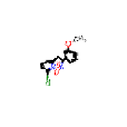 COc1cccc(C(Cc2cccc(Cl)n2)=NO)c1